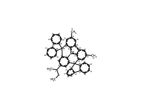 CCC(C)c1cc2c3c(c1)C1(c4ccccc4-c4ccccc41)c1cc(C)cc4c5cc(C)cc(c5n-3c14)C2(c1ccccc1)c1ccccc1